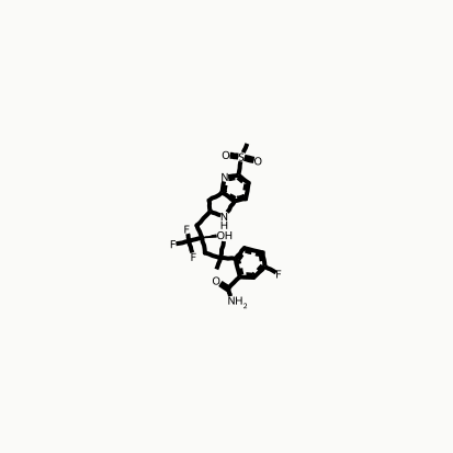 CC(C)(C[C@@](O)(CC1Cc2nc(S(C)(=O)=O)ccc2N1)C(F)(F)F)c1ccc(F)cc1C(N)=O